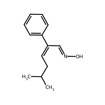 CC(C)CC=C(C=NO)c1ccccc1